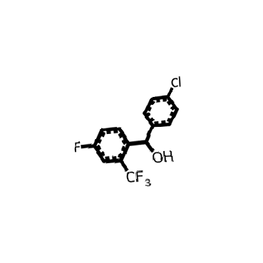 OC(c1ccc(Cl)cc1)c1ccc(F)cc1C(F)(F)F